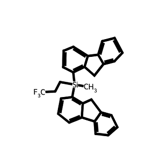 C[Si](CCC(F)(F)F)(c1cccc2c1Cc1ccccc1-2)c1cccc2c1Cc1ccccc1-2